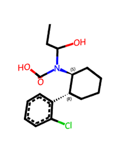 CCC(O)N(C(=O)O)[C@H]1CCCC[C@@H]1c1ccccc1Cl